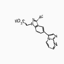 CC(=O)c1nn(CC(=O)O)c2ccc(-c3cnc4ncccn34)cc12